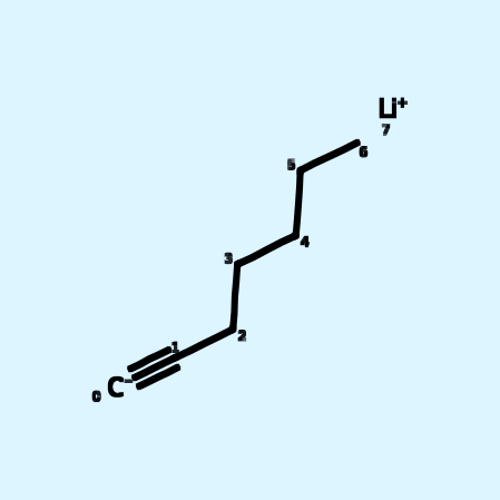 [C-]#CCCCCC.[Li+]